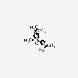 CC[C@@H]1CN(CC(C)C)CCN1C(=O)[C@@H]1CCN(C(C)C)C1